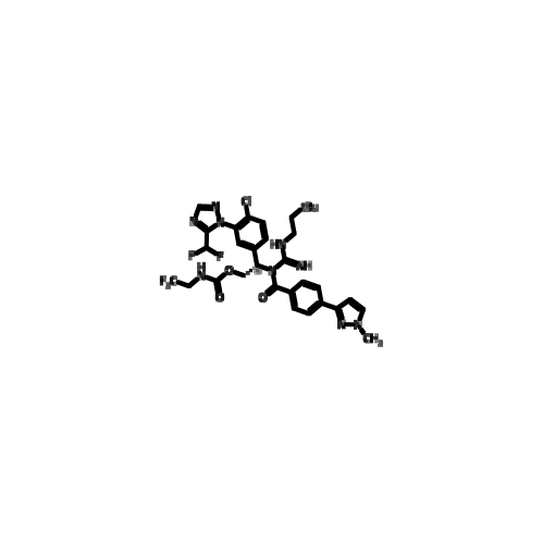 Cn1ccc(-c2ccc(C(=O)N(C(=N)NCCC(C)(C)C)[C@H](COC(=O)NCC(F)(F)F)c3ccc(Cl)c(-n4ncnc4C(F)F)c3)cc2)n1